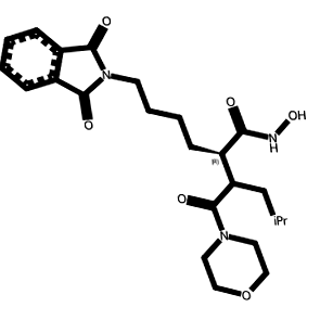 CC(C)CC(C(=O)N1CCOCC1)[C@@H](CCCCN1C(=O)c2ccccc2C1=O)C(=O)NO